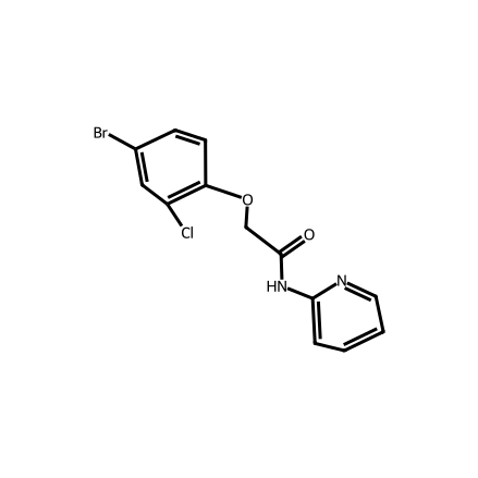 O=C(COc1ccc(Br)cc1Cl)Nc1ccccn1